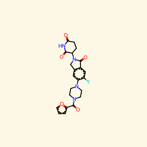 O=C1CCC(N2Cc3cc(N4CCN(C(=O)c5ccco5)CC4)c(F)cc3C2=O)C(=O)N1